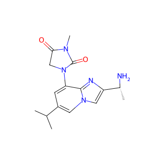 CC(C)c1cc(N2CC(=O)N(C)C2=O)c2nc([C@@H](C)N)cn2c1